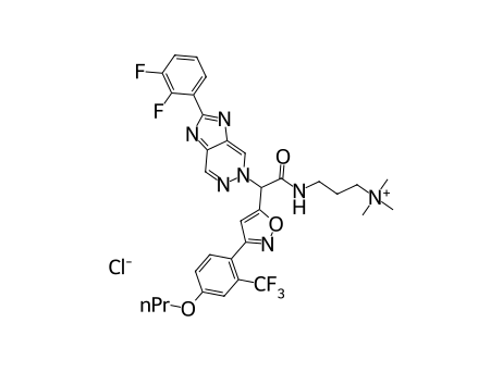 CCCOc1ccc(-c2cc(C(C(=O)NCCC[N+](C)(C)C)n3cc4nc(-c5cccc(F)c5F)nc-4cn3)on2)c(C(F)(F)F)c1.[Cl-]